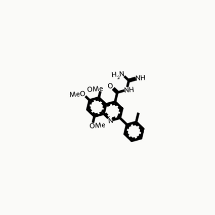 COc1cc(OC)c2nc(-c3ccccc3C)cc(C(=O)NC(=N)N)c2c1OC